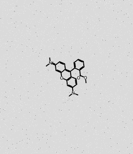 COC(=O)c1ccccc1-c1c2ccc(=[N+](C)C)cc-2oc2cc(N(C)C)ccc12